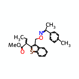 CC=C(C(=O)OC)c1sc2ccccc2c1CON=C(C)c1ccc(C)cc1